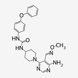 CON=Cc1c(N)ncnc1N1CCC(NC(=O)Nc2ccc(Oc3ccccc3)cc2)CC1